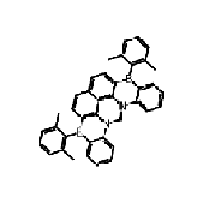 Cc1cccc(C)c1B1c2ccccc2N2CN3c4ccccc4B(c4c(C)cccc4C)c4ccc5ccc1c2c5c43